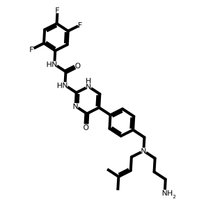 CC(C)=CCN(CCCN)Cc1ccc(-c2c[nH]c(NC(=O)Nc3cc(F)c(F)cc3F)nc2=O)cc1